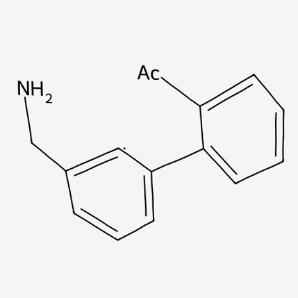 CC(=O)c1ccccc1-c1[c]c(CN)ccc1